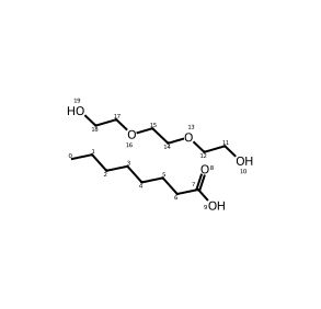 CCCCCCCC(=O)O.OCCOCCOCCO